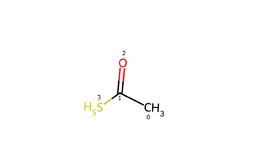 CC(=O)[SH5]